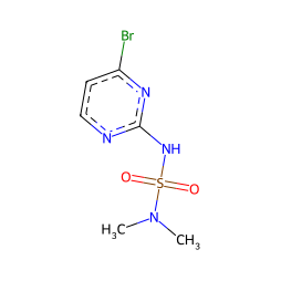 CN(C)S(=O)(=O)Nc1nccc(Br)n1